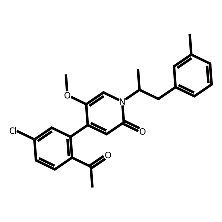 COc1cn(C(C)Cc2cccc(C)c2)c(=O)cc1-c1cc(Cl)ccc1C(C)=O